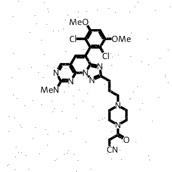 CNc1ncc2cc(-c3c(Cl)c(OC)cc(OC)c3Cl)c3nc(CCCN4CCN(C(=O)CC#N)CC4)nn3c2n1